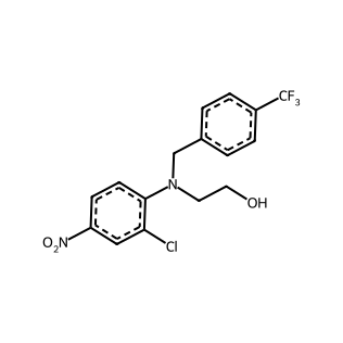 O=[N+]([O-])c1ccc(N(CCO)Cc2ccc(C(F)(F)F)cc2)c(Cl)c1